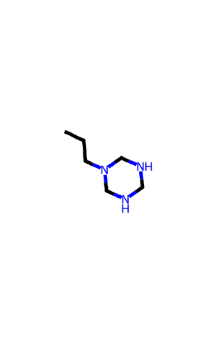 CCCN1CNCNC1